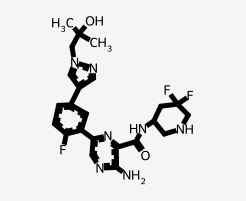 CC(C)(O)Cn1cc(-c2ccc(F)c(-c3cnc(N)c(C(=O)NC4CNCC(F)(F)C4)n3)c2)cn1